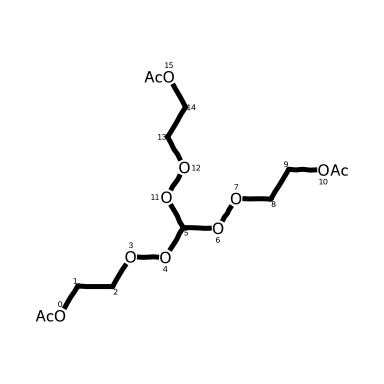 CC(=O)OCCOOC(OOCCOC(C)=O)OOCCOC(C)=O